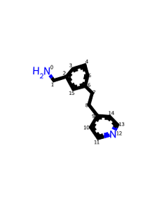 NCc1cccc(CCc2ccncc2)c1